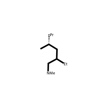 CCC[C@@H](C)CC(CC)CNC